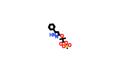 CC(C)(Oc1cc(-c2ccccc2)[nH]n1)C(=O)OS(C)(=O)=O